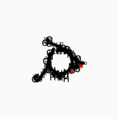 C=C1NC(CC)C(=O)N(C)[C@H](C)C(=O)N(C)C([C@@H](C)OCCCCN2CCOCC2)C(=O)NC(C(C)C)C(=O)N(C)[C@@H](CC(C)C)C(=O)NC(C)C(=O)N2C(C)C[C@@H](C(=O)N(C)[C@@H](C(C)C)C(=O)N3O[C@H]([C@H](C)CCCCOS(C)(=O)=O)[C@@H]13)N(C)C(=O)C(CC(C)C)N(C)C(=O)[C@H]2C